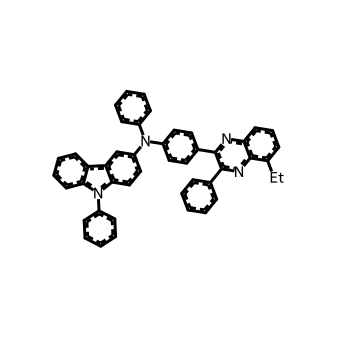 CCc1cccc2nc(-c3ccc(N(c4ccccc4)c4ccc5c(c4)c4ccccc4n5-c4ccccc4)cc3)c(-c3ccccc3)nc12